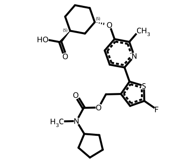 Cc1nc(-c2sc(F)cc2COC(=O)N(C)C2CCCC2)ccc1O[C@H]1CCC[C@H](C(=O)O)C1